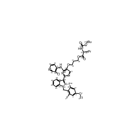 CCOc1cc(F)c(Cn2nc(-c3ncc(OCCCOC(=O)C(NC(=O)OC(C)(C)C)C(C)C)c(Nc4ccncc4Cl)n3)c3ccccc32)c(F)c1